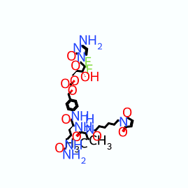 CC(C)[C@H](NC(=O)CCCCCN1C(=O)C=CC1=O)C(=O)N[C@@H](CCCNC(N)=O)C(=O)Nc1ccc(COC(=O)OC[C@H]2O[C@@H](n3ccc(N)nc3=O)C(F)(F)[C@@H]2O)cc1